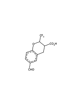 O=Cc1ccc2c(c1)CC(C(=O)O)C(C(F)(F)F)O2